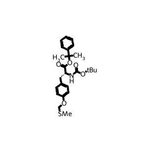 CSCOc1ccc(C[C@@H](NC(=O)OC(C)(C)C)C(=O)OC(C)(C)c2ccccc2)cc1